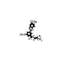 C=C(C)C(=O)OC(O)c1cc(OC)cc(-n2nc3ccc(OC)cc3n2)c1